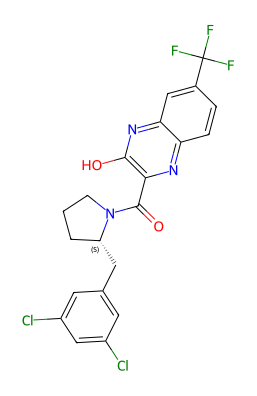 O=C(c1nc2ccc(C(F)(F)F)cc2nc1O)N1CCC[C@H]1Cc1cc(Cl)cc(Cl)c1